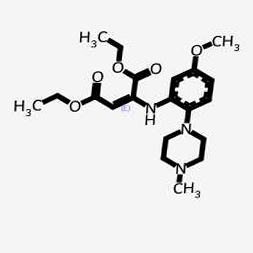 CCOC(=O)/C=C(/Nc1cc(OC)ccc1N1CCN(C)CC1)C(=O)OCC